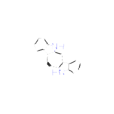 C1#CC2C(=Cc3c1[nH]c1ccccc31)Nc1ccccc12